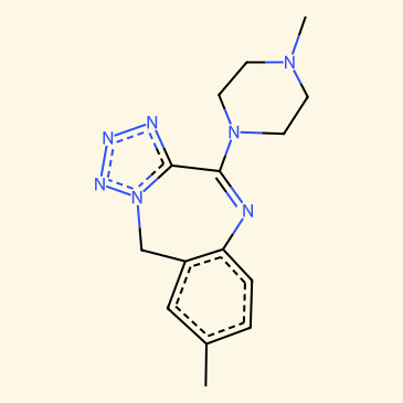 Cc1ccc2c(c1)Cn1nnnc1C(N1CCN(C)CC1)=N2